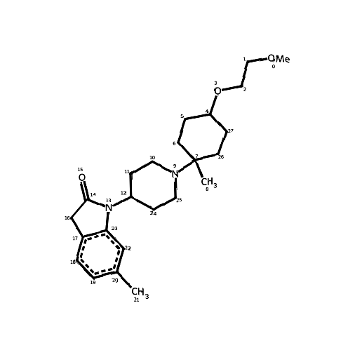 COCCOC1CCC(C)(N2CCC(N3C(=O)Cc4ccc(C)cc43)CC2)CC1